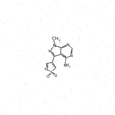 Cn1nc(C2=CS(=O)(=O)N=C2)c2c(N)ncnc21